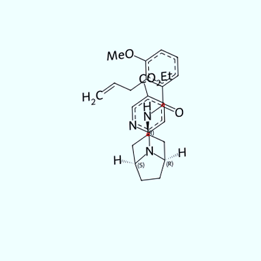 C=CCc1c(OC)cccc1C(=O)N[C@H]1C[C@H]2CC[C@@H](C1)N2c1ccc(C(=O)OCC)cn1